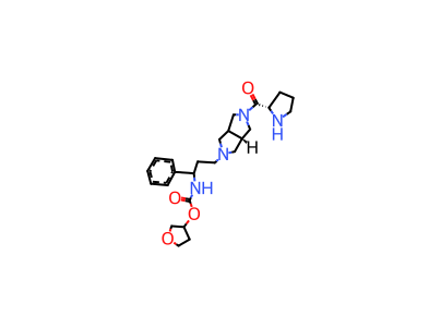 O=C(NC(CCN1CC2CN(C(=O)[C@@H]3CCCN3)C[C@@H]2C1)c1ccccc1)OC1CCOC1